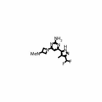 CNC1CN(c2cc(-c3[nH]nc(C(F)F)c3C)nc(N)n2)C1